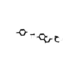 Cc1cc(N2CC3CC2CN3)nc2ccc(NC(=O)COc3ccc(Cl)cc3)cc12